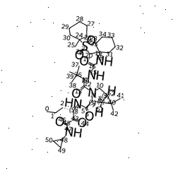 CCC[C@H](NC(=O)[C@@H]1[C@@H]2[C@H](CN1C(=O)[C@@H](NC(=O)NC1(CS(=O)(=O)C3(C)CCCCC3)CCCCC1)C(C)(C)C)C2(C)C)C(=O)C(=O)NC1CC1